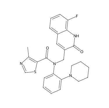 Cc1ncsc1C(=O)N(Cc1cc2cccc(F)c2[nH]c1=O)c1ccccc1N1CCCCC1